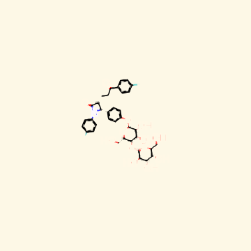 O=C(CC[C@H]1C(=O)N(c2ccc(F)cc2)[C@@H]1c1ccc(O[C@@H]2O[C@H](CO)[C@@H](O[C@@H]3OC(CO)[C@H](O)[C@H](O)[C@H]3O)[C@H](O)[C@H]2O)cc1)c1ccc(F)cc1